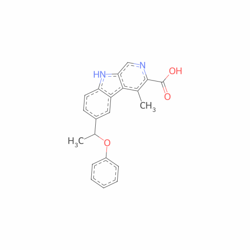 Cc1c(C(=O)O)ncc2[nH]c3ccc(C(C)Oc4ccccc4)cc3c12